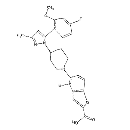 COc1cc(F)ccc1-c1cc(C)nn1C1CCN(c2ccc3oc(C(=O)O)cc3c2Br)CC1